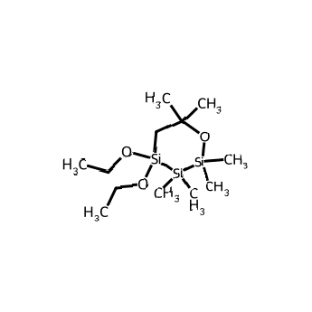 CCO[Si]1(OCC)CC(C)(C)O[Si](C)(C)[Si]1(C)C